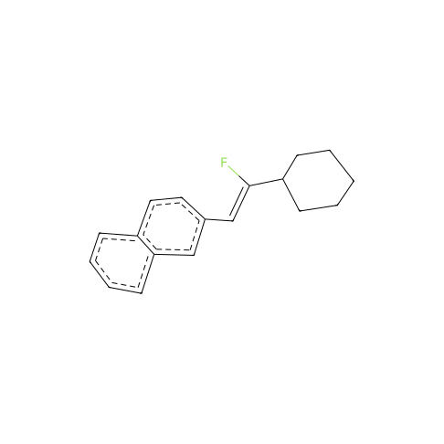 F/C(=C\c1ccc2ccccc2c1)C1CCCCC1